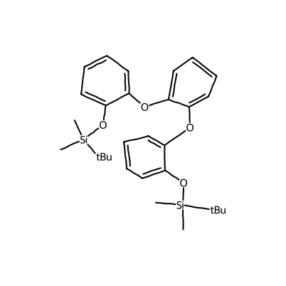 CC(C)(C)[Si](C)(C)Oc1ccccc1Oc1ccccc1Oc1ccccc1O[Si](C)(C)C(C)(C)C